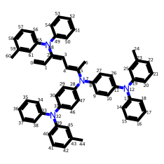 C=C/C(=C\C=C(/C)N(c1ccc(N(c2ccccc2)c2cccc(C)c2)cc1)c1ccc(N(c2ccccc2)c2cccc(C)c2)cc1)N(c1ccccc1)c1cccc(C)c1